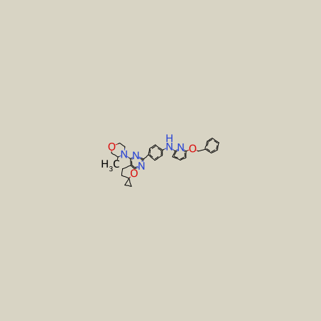 CC1COCCN1c1nc(-c2ccc(Nc3cccc(OCc4ccccc4)n3)cc2)nc2c1CCC1(CC1)O2